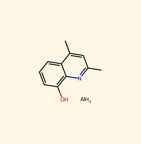 Cc1cc(C)c2cccc(O)c2n1.[AlH3]